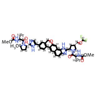 COC(=O)N[C@@H](C(C)C)C(O)N1[C@@H](C)CC[C@H]1c1ncc(-c2ccc3c(c2)COc2cc4c(ccc5nc(C6C[C@H](COC(F)F)CN6C(=O)[C@@H](NC(=O)OC)C(C)C)[nH]c54)cc2-3)[nH]1